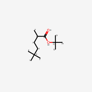 CC(CCC(C)(C)C)C(=O)OC(C)(C)C